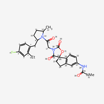 CCc1cc(F)ccc1CC1CCC(C)N1C(=O)CN1C(=O)O[C@@]2(CCc3cc(NC(=O)NC)ccc32)C1=O